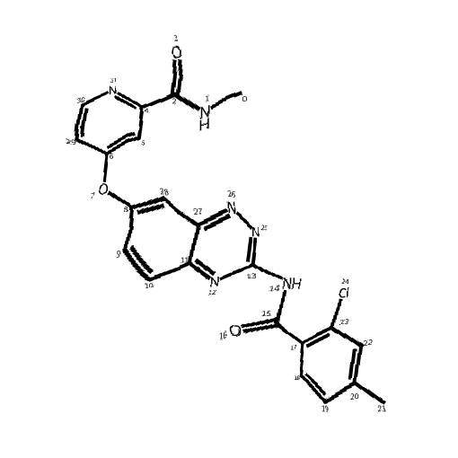 CNC(=O)c1cc(Oc2ccc3nc(NC(=O)c4ccc(C)cc4Cl)nnc3c2)ccn1